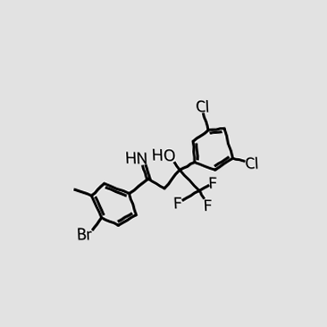 Cc1cc(C(=N)CC(O)(c2cc(Cl)cc(Cl)c2)C(F)(F)F)ccc1Br